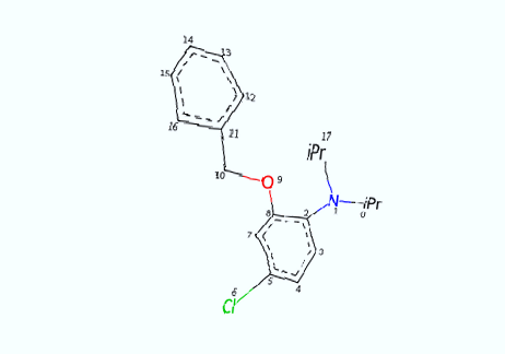 CC(C)N(c1ccc(Cl)cc1OCc1ccccc1)C(C)C